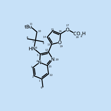 Cc1ccn2c(NC(C)(C)CC(C)(C)C)c(-c3ccc(OC(=O)O)o3)nc2c1